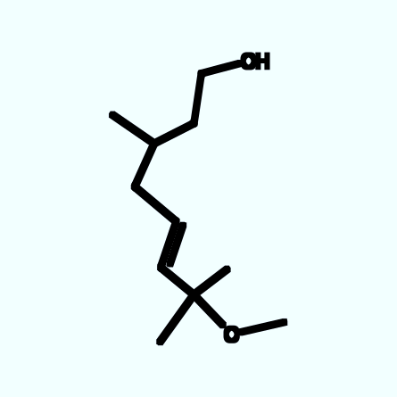 COC(C)(C)/C=C/CC(C)CCO